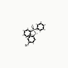 O=P(Sc1ccc(Br)cc1)(c1ccccc1)c1ccccc1